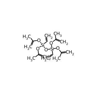 C=C[Si](OC(=C)C)(OC(=C)C)O[Si](C=C)(OC(=C)C)OC(=C)C